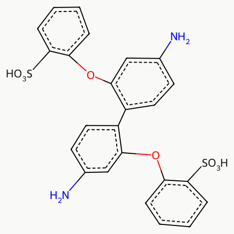 Nc1ccc(-c2ccc(N)cc2Oc2ccccc2S(=O)(=O)O)c(Oc2ccccc2S(=O)(=O)O)c1